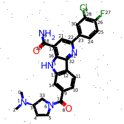 CN(C)[C@@H]1CCN(C(=O)c2ccc3c(c2)[nH]c2c(C(N)=O)cc(-c4ccc(F)c(Cl)c4)nc23)C1